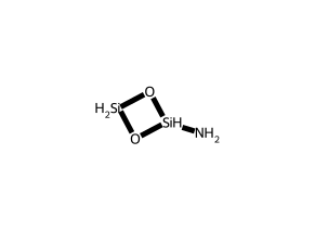 N[SiH]1O[SiH2]O1